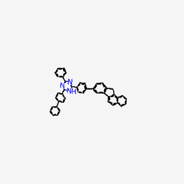 c1ccc(C2=NC(c3ccc(-c4ccccc4)cc3)NC(c3ccc(-c4ccc5c(c4)-c4ccc6ccccc6c4C5)cc3)=N2)cc1